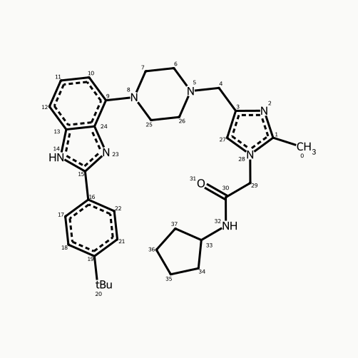 Cc1nc(CN2CCN(c3cccc4[nH]c(-c5ccc(C(C)(C)C)cc5)nc34)CC2)cn1CC(=O)NC1CCCC1